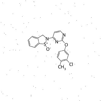 Cc1ccc(Oc2nccc(N3Cc4ccccc4[S+]3[O-])n2)cc1Cl